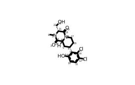 CN1C(=O)[C@H]2C[C@@H](c3c(O)ccc(Cl)c3Cl)CCN2C(=O)[C@H]1CO